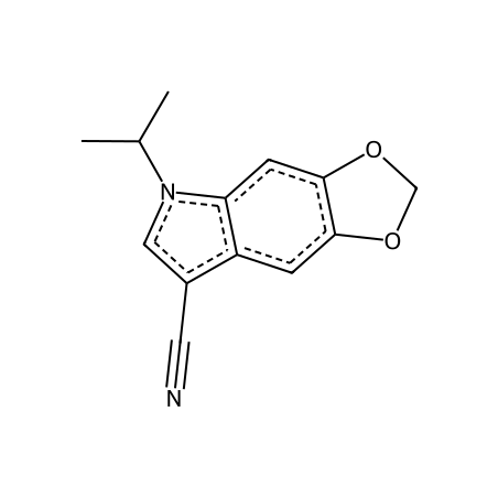 CC(C)n1cc(C#N)c2cc3c(cc21)OCO3